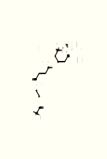 CCCC(C)(C(=O)OCCOC(=O)CCC(=O)OC1CC(C)(C)N(C)C(C)(C)C1)C(C)C